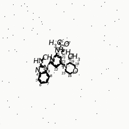 CNc1nc2ccccc2n1-c1cc(N2CCOC[C@H]2C)cc(N=S(C)(C)=O)n1